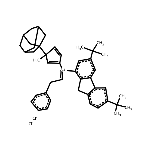 CC(C)(C)c1ccc2c(c1)-c1cc(C(C)(C)C)c[c]([Zr+2](=[CH]Cc3ccccc3)[C]3=CC(C)(C45CC6CC(CC(C6)C4)C5)C=C3)c1C2.[Cl-].[Cl-]